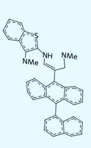 CNC/C(=C\Nc1sc2ccccc2c1NC)c1c2ccccc2c(-c2cccc3ccccc23)c2ccccc12